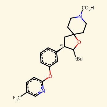 CC(C)(C)C1OC2(CCN(C(=O)O)CC2)C[C@@H]1c1cccc(Oc2ccc(C(F)(F)F)cn2)c1